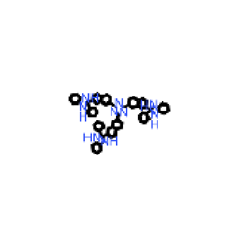 c1ccc(C2(c3ccc4ccc(-c5nc(-c6ccc7ccc(C8(c9ccccc9)Nc9ccccc9N8)cc7c6)nc(-c6ccc7ccc(C8(c9ccccc9)Nc9ccccc9N8)cc7c6)n5)cc4c3)Nc3ccccc3N2)cc1